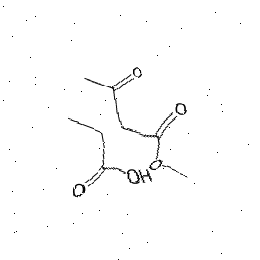 CCC(=O)O.COC(=O)CC(C)=O